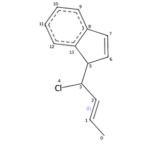 C/C=C/C(Cl)C1C=Cc2cc[c]cc21